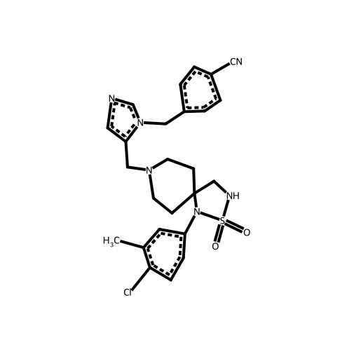 Cc1cc(N2C3(CCN(Cc4cncn4Cc4ccc(C#N)cc4)CC3)CNS2(=O)=O)ccc1Cl